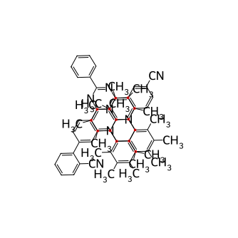 Cc1c(C)c(C)c2c(c1C)Cc1c(C)c(C)c(C)c(C)c1N2c1ccc(C#N)cc1-c1nc(-c2ccccc2)nc(-c2ccc(-c3ccccc3C#N)cc2N2c3c(C)c(C)c(C)c(C)c3Cc3c(C)c(C)c(C)c(C)c32)n1